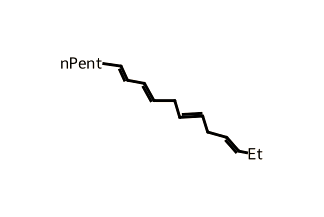 [CH2]CCCCC=CC=CCC=CCC=CCC